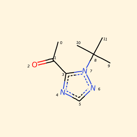 CC(=O)c1ncnn1C(C)(C)C